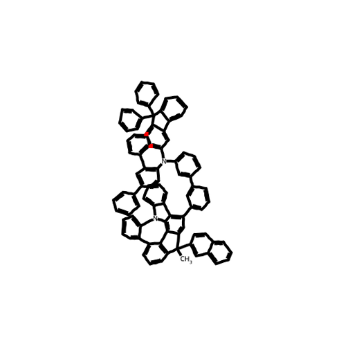 CC1(c2ccc3ccccc3c2)c2cccc3c2-c2c1cc(-c1cccc(-c4cccc(N(c5ccc6c(c5)-c5ccccc5C6(c5ccccc5)c5ccccc5)c5ccc(-c6ccccc6)cc5-c5ccccc5)c4)c1)c1c4ccccc4n(c21)-c1ccccc1-3